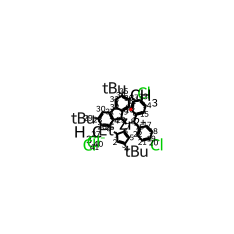 CCC1C=C(C(C)(C)C)C=[C]1[Zr+2](=[C](c1ccc(Cl)cc1)c1ccc(Cl)cc1)[CH]1c2cc(C)c(C(C)(C)C)cc2-c2cc(C(C)(C)C)c(C)cc21.[Cl-].[Cl-]